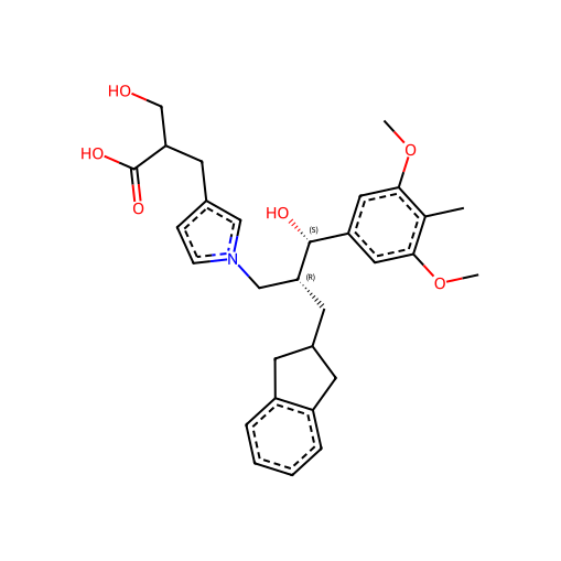 COc1cc([C@@H](O)[C@H](CC2Cc3ccccc3C2)Cn2ccc(CC(CO)C(=O)O)c2)cc(OC)c1C